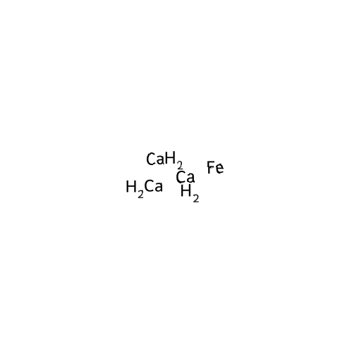 [CaH2].[CaH2].[CaH2].[Fe]